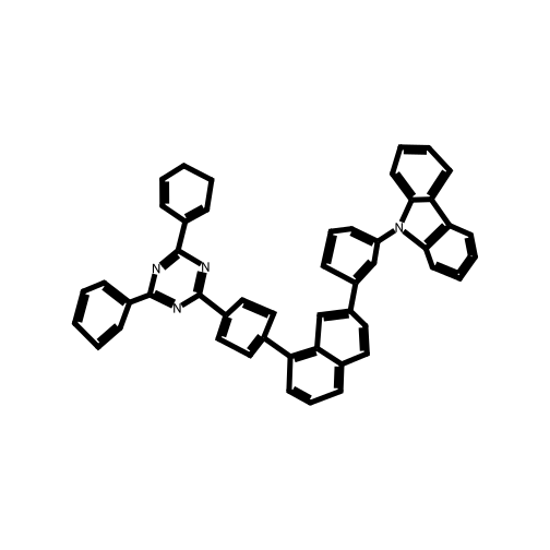 C1=C=Cc2c(c3ccccc3n2-c2cccc(-c3ccc4cccc(-c5ccc(-c6nc(C7=CCCC=C7)nc(-c7ccccc7)n6)cc5)c4c3)c2)C=1